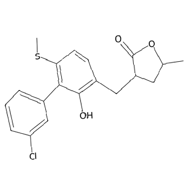 CSc1ccc(CC2CC(C)OC2=O)c(O)c1-c1cccc(Cl)c1